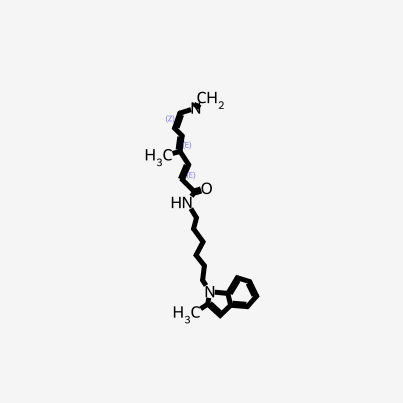 C=N\C=C/C=C(C)/C=C/C(=O)NCCCCCCn1c(C)cc2ccccc21